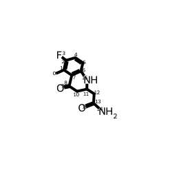 Cc1c(F)ccc2c1C(=O)CC(CC(N)=O)N2